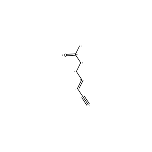 C#C/C=C/CCC(C)=O